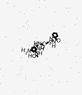 CC(O)Nc1cc(N)cc2nc(NC(=O)CCCSc3nc4c(c(=O)[nH]3)CCCC4)[nH]c12